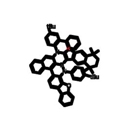 CC(C)(C)c1ccc(N2B3c4c(cc5ccccc5c4-c4ccc5c(oc6ccccc65)c42)N(c2ccc(C(C)(C)C)cc2-c2ccccc2)c2oc4cc5c(cc4c23)C(C)(C)CCC5(C)C)cc1